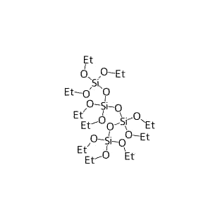 CCO[Si](OCC)(OCC)O[Si](OCC)(OCC)O[Si](OCC)(OCC)O[Si](OCC)(OCC)OCC